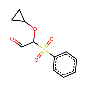 O=CC(OC1CC1)S(=O)(=O)c1ccccc1